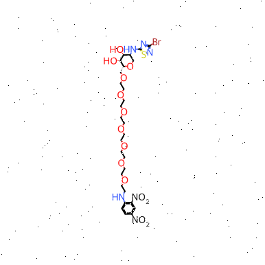 O=[N+]([O-])c1ccc(NCCOCCOCCOCCOCCOCCOCCOC[C@H]2OC[C@H](Nc3nc(Br)ns3)[C@@H](O)[C@H]2O)c([N+](=O)[O-])c1